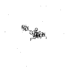 C/N=C\[C@@H]1C[C@@H](C(=O)NCc2cc(-c3cnc(C(F)(F)F)nc3)ccc2F)N(S(=O)(=O)c2ccc(F)cc2)[C@H]1C